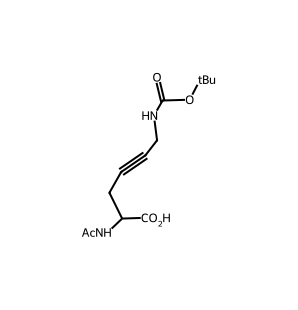 CC(=O)NC(CC#CCNC(=O)OC(C)(C)C)C(=O)O